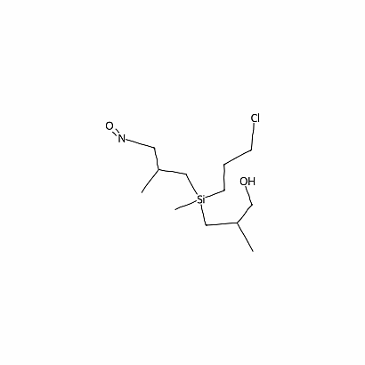 CC(CO)C[Si](C)(CCCCl)CC(C)CN=O